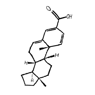 C[C@@]12CCC[C@H]1[C@@H]1CC=C3C=C(C(=O)O)C=C[C@]3(C)[C@@H]1CC2